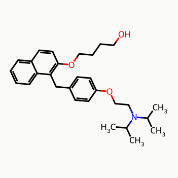 CC(C)N(CCOc1ccc(Cc2c(OCCCCO)ccc3ccccc23)cc1)C(C)C